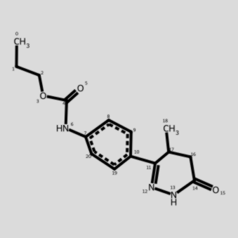 CCCOC(=O)Nc1ccc(C2=NNC(=O)CC2C)cc1